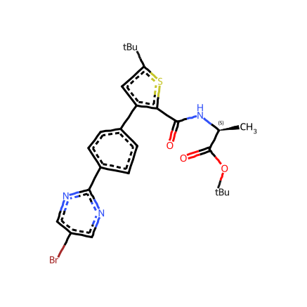 C[C@H](NC(=O)c1sc(C(C)(C)C)cc1-c1ccc(-c2ncc(Br)cn2)cc1)C(=O)OC(C)(C)C